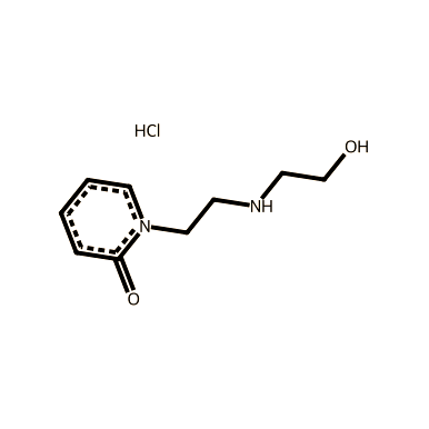 Cl.O=c1ccccn1CCNCCO